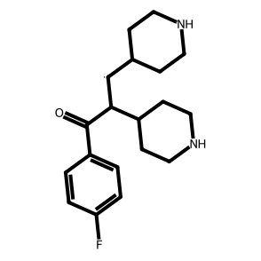 O=C(c1ccc(F)cc1)C([CH]C1CCNCC1)C1CCNCC1